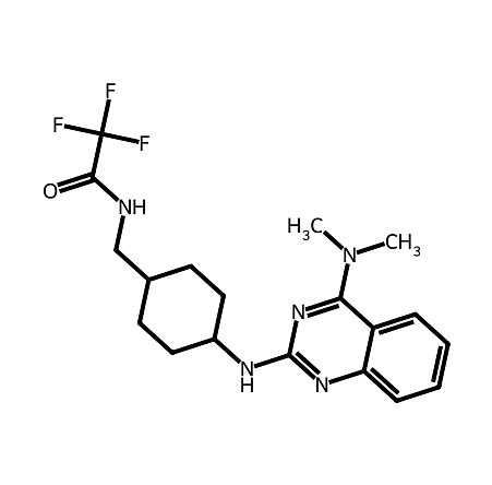 CN(C)c1nc(NC2CCC(CNC(=O)C(F)(F)F)CC2)nc2ccccc12